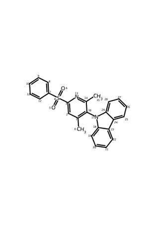 Cc1cc(S(=O)(=O)c2ccccc2)nc(C)c1-n1c2ccccc2c2ccccc21